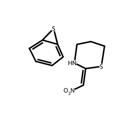 O=[N+]([O-])C=C1NCCCS1.c1ccc2c(c1)S2